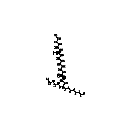 CCCCCCCCC(CCCCCC)CCOC(=O)CCCCCCCNCCCCCC